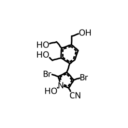 N#Cc1c(Br)c(-c2ccc(CO)c(CO)c2CO)c(Br)n1O